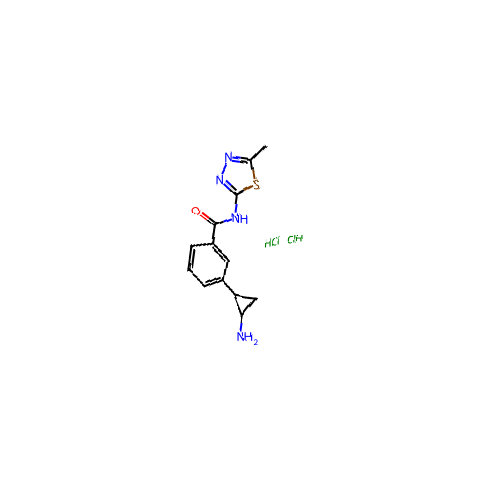 Cc1nnc(NC(=O)c2cccc(C3CC3N)c2)s1.Cl.Cl